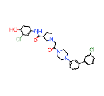 O=C(Nc1ccc(O)c(Cl)c1)[C@@H]1CCN(CC(=O)N2CCN(c3cccc(-c4cccc(Cl)c4)c3)CC2)C1